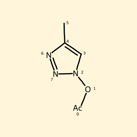 CC(=O)On1cc(C)nn1